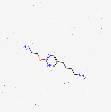 NCCCCc1cnc(OCCN)nc1